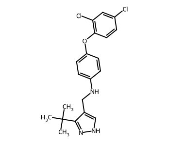 CC(C)(C)c1n[nH]cc1CNc1ccc(Oc2ccc(Cl)cc2Cl)cc1